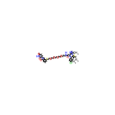 Cc1sc2c(c1C)C(c1ccc(Cl)cc1)=N[C@@H](CC(=O)NCCCOCCOCCOCCOCCSc1cccc3c1CN(C1CCC(=O)NC1=O)C3=O)c1nnc(C)n1-2